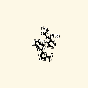 CC(C)(C)OC(=O)CN(C=O)c1cnccc1Nc1nc(-c2cccc(C(F)F)n2)nn2cccc12